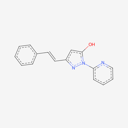 Oc1cc(/C=C/c2ccccc2)nn1-c1ccccn1